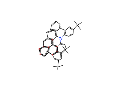 CC(C)(C)c1cc(-c2cccc3cccc(-c4ccccc4N(c4ccc(C(C)(C)C)cc4-c4ccccc4)c4ccccc4-c4cccc5ccccc45)c23)cc(C(C)(C)C)c1